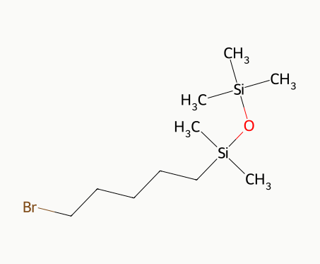 C[Si](C)(C)O[Si](C)(C)CCCCCBr